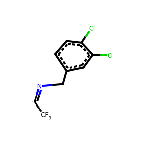 FC(F)(F)/[C]=N\Cc1ccc(Cl)c(Cl)c1